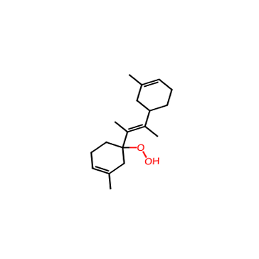 CC1=CCCC(/C(C)=C(\C)C2(OO)CCC=C(C)C2)C1